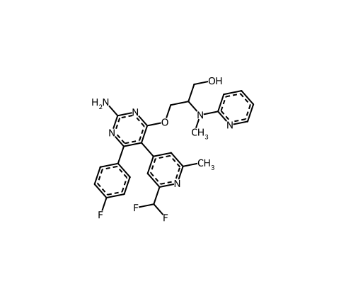 Cc1cc(-c2c(OCC(CO)N(C)c3ccccn3)nc(N)nc2-c2ccc(F)cc2)cc(C(F)F)n1